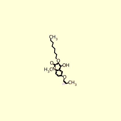 C/C=C\Oc1ccc2c(c1)c(O)c(OCCCCCCCC)c(=O)n2C